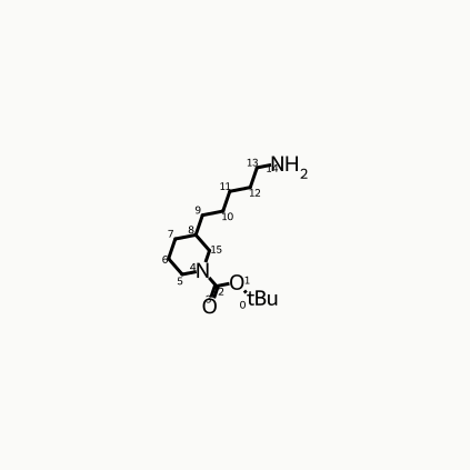 CC(C)(C)OC(=O)N1CCCC(CCCCCN)C1